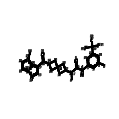 Cc1cc(NC(=O)N(C)C2CC3(C2)CN(C(=O)c2cnn4ccn(C)c24)C3)cc(C(F)(F)F)c1